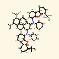 CC(C)c1cc(C(C)C)c2ccc3c(N(c4ccccc4)c4cccc5c4oc4c(C(C)(C)C)cccc45)cc(N(c4ccccc4)c4cccc5c4oc4c(C(C)(C)C)cccc45)c4ccc1c2c43